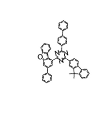 CC1(C)c2ccccc2-c2ccc(-c3nc(-c4ccc(-c5ccccc5)cc4)nc(-c4cc(-c5ccccc5)cc5oc6ccccc6c45)n3)cc21